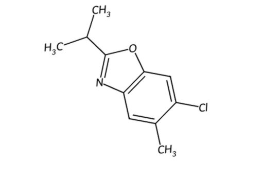 Cc1cc2nc(C(C)C)oc2cc1Cl